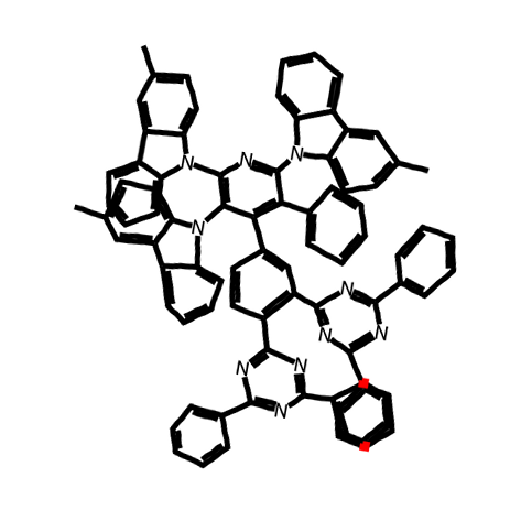 Cc1ccc2c(c1)c1ccccc1n2-c1nc(-n2c3ccccc3c3cc(C)ccc32)c(-n2c3ccccc3c3cc(C)ccc32)c(-c2ccc(-c3nc(-c4ccccc4)nc(-c4ccccc4)n3)c(-c3nc(-c4ccccc4)nc(-c4ccccc4)n3)c2)c1-c1ccccc1